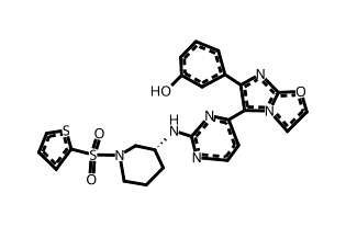 O=S(=O)(c1cccs1)N1CCC[C@@H](Nc2nccc(-c3c(-c4cccc(O)c4)nc4occn34)n2)C1